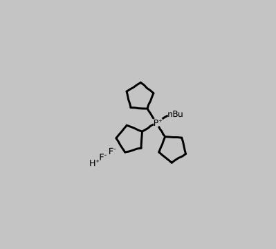 CCCC[P+](C1CCCC1)(C1CCCC1)C1CCCC1.[F-].[F-].[H+]